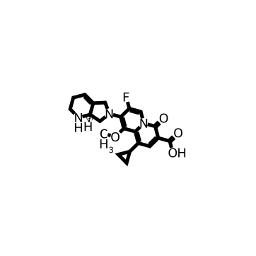 COc1c(N2CC3=CCCN[C@@H]3C2)c(F)cn2c(=O)c(C(=O)O)cc(C3CC3)c12